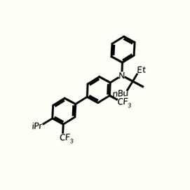 CCCCC(C)(CC)N(c1ccccc1)c1ccc(-c2ccc(C(C)C)c(C(F)(F)F)c2)cc1C(F)(F)F